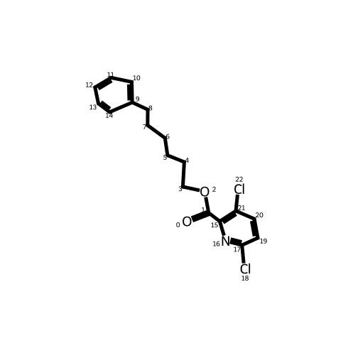 O=C(OCCCCCCc1ccccc1)c1nc(Cl)ccc1Cl